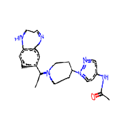 CC(=O)Nc1cnn(C2CCN(C(C)c3ccc4c(c3)N=CCN4)CC2)c1